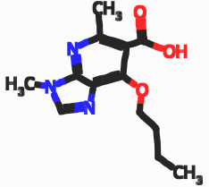 CCCCOc1c(C(=O)O)c(C)nc2c1ncn2C